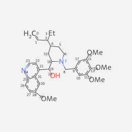 C=CC(CC)C1CCN(Cc2cc(OC)c(OC)c(OC)c2)C(C(O)c2ccnc3ccc(OC)cc23)C1